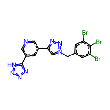 Brc1cc(Cn2cc(-c3cncc(-c4nnn[nH]4)c3)nn2)cc(Br)c1Br